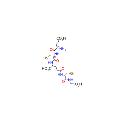 N[C@@H](CCC(=O)O)C(=O)N[C@@H](CS)C(=O)NC(CCC(=O)NC(CS)C(=O)NCC(=O)O)C(=O)O